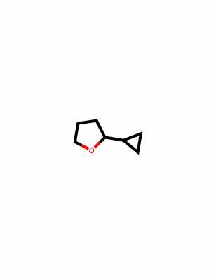 C1COC([C]2CC2)C1